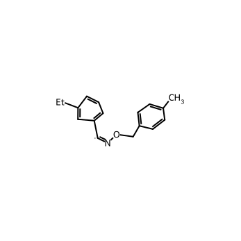 CCc1cccc(/[C]=N\OCc2ccc(C)cc2)c1